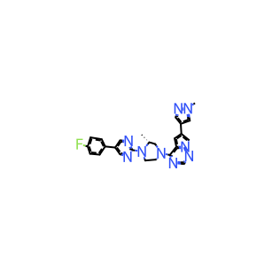 C[C@@H]1CN(c2ncnn3cc(-c4cnn(C)c4)cc23)CCN1c1ncc(-c2ccc(F)cc2)cn1